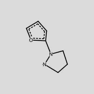 c1coc(N2CCC[N]2)c1